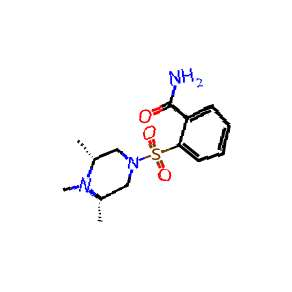 C[C@@H]1CN(S(=O)(=O)c2ccccc2C(N)=O)C[C@H](C)N1C